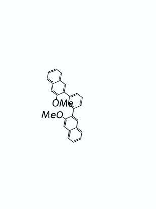 COc1cc2ccccc2cc1-c1cccc(-c2cc3ccccc3cc2OC)c1